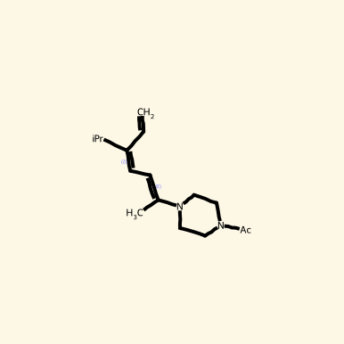 C=C/C(=C\C=C(/C)N1CCN(C(C)=O)CC1)C(C)C